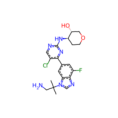 CC(C)(CN)n1cnc2c(F)cc(-c3nc(N[C@@H]4CCOC[C@H]4O)ncc3Cl)cc21